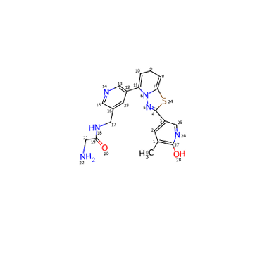 Cc1cc(C2=NN3C(=CCC=C3c3cncc(CNC(=O)CN)c3)S2)cnc1O